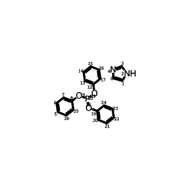 c1c[nH]cn1.c1ccc(OP(Oc2ccccc2)Oc2ccccc2)cc1